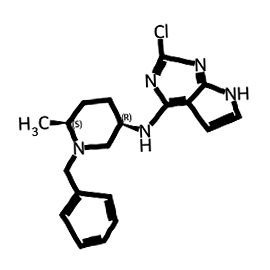 C[C@H]1CC[C@@H](Nc2nc(Cl)nc3[nH]ccc23)CN1Cc1ccccc1